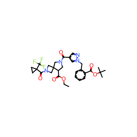 CCOC(=O)C1CN(C(=O)c2cnn(Cc3ccccc3C(=O)OC(C)(C)C)c2)CC12CN(C(=O)C1(C(F)(F)F)CC1)C2